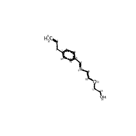 C=CCc1ccc(C=NCCOCCO)cc1